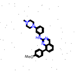 COc1ccc(-c2cccc3cnc(Nc4cccc(N5CCN(C)CC5)c4)nc23)cc1